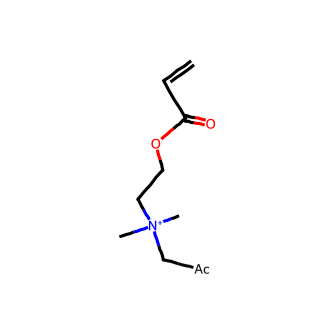 C=CC(=O)OCC[N+](C)(C)CC(C)=O